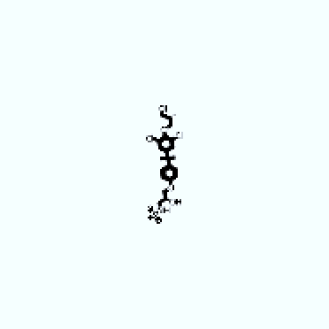 C[C@@H](CCl)COc1c(Cl)cc(C(C)(C)c2ccc(OC[C@H](O)CNS(C)(=O)=O)cc2)cc1Cl